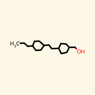 CCCC1CCC(CCC2CCC(CO)CC2)CC1